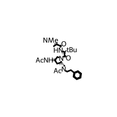 CN[C@@H](C)C(=O)N[C@H](C(=O)N1C[C@@H](NC(C)=O)C[C@H]1CN(CCc1ccccc1)C(C)=O)C(C)(C)C